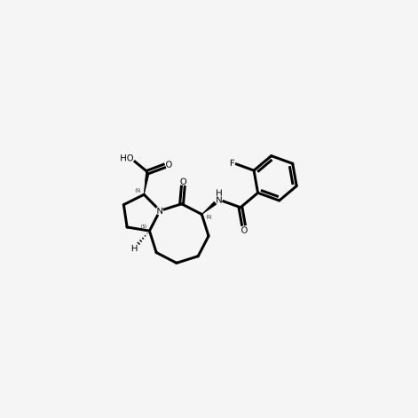 O=C(N[C@H]1CCCC[C@H]2CC[C@@H](C(=O)O)N2C1=O)c1ccccc1F